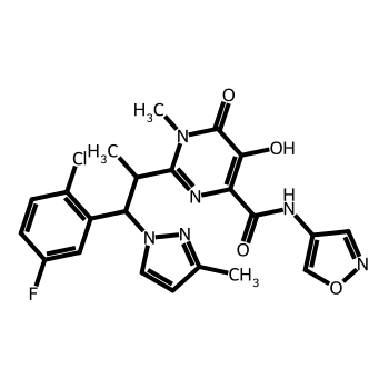 Cc1ccn(C(c2cc(F)ccc2Cl)C(C)c2nc(C(=O)Nc3cnoc3)c(O)c(=O)n2C)n1